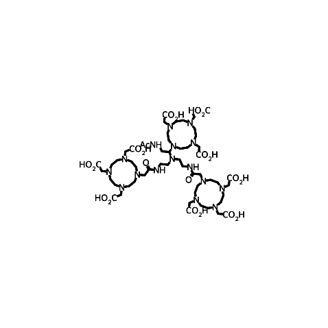 CC(=O)NCC(N(CCNC(=O)CN1CCN(CC(=O)O)CCN(CC(=O)O)CCN(CC(=O)O)CC1)CCNC(=O)CN1CCN(CC(=O)O)CCN(CC(=O)O)CCN(CC(=O)O)CC1)N1CCN(CC(=O)O)CCN(CC(=O)O)CCN(CC(=O)O)CC1